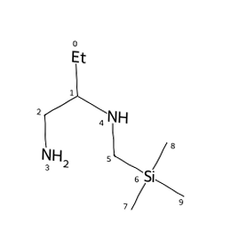 CCC(CN)NC[Si](C)(C)C